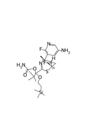 CC(C)(C)C(OCC[Si](C)(C)C)(OC(N)=O)C1=N[C@](C)(c2cc(N)cnc2F)[C@@H]2C[C@]2(CF)S1